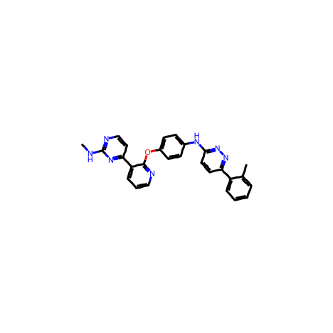 CNc1nccc(-c2cccnc2Oc2ccc(Nc3ccc(-c4ccccc4C)nn3)cc2)n1